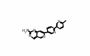 Cc1ccc(-c2ccc(-c3cc4nc(N)ncc4cn3)cn2)cn1